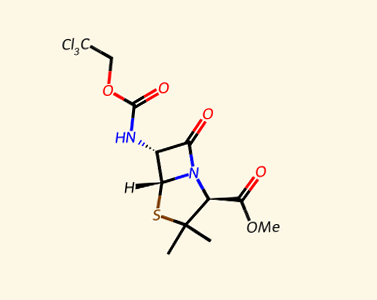 COC(=O)[C@@H]1N2C(=O)[C@@H](NC(=O)OCC(Cl)(Cl)Cl)[C@H]2SC1(C)C